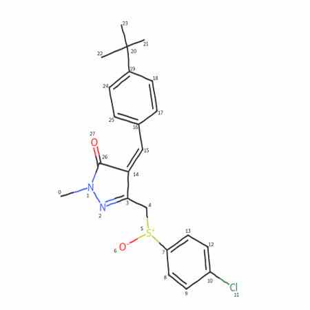 CN1N=C(C[S+]([O-])c2ccc(Cl)cc2)C(=Cc2ccc(C(C)(C)C)cc2)C1=O